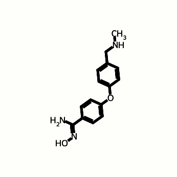 CNCc1ccc(Oc2ccc(C(N)=NO)cc2)cc1